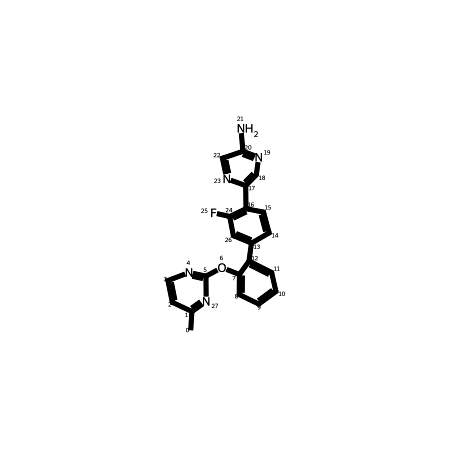 Cc1ccnc(Oc2ccccc2-c2ccc(-c3cnc(N)cn3)c(F)c2)n1